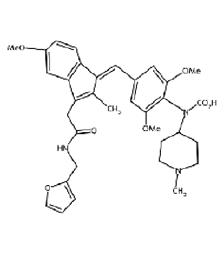 COc1ccc2c(c1)C(CC(=O)NCc1ccco1)=C(C)C2=Cc1cc(OC)c(N(C(=O)O)C2CCN(C)CC2)c(OC)c1